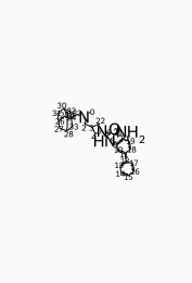 CN(CC1CN(C(=O)Nc2cc(-c3ccccc3)ccc2N)C1)CC12CC3CC(CC(C3)C1)C2